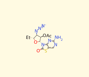 CC[C@H]1O[C@@H](n2c(=O)sc3cnc(N)nc32)[C@H](OC(C)=O)[C@@H]1N=[N+]=[N-]